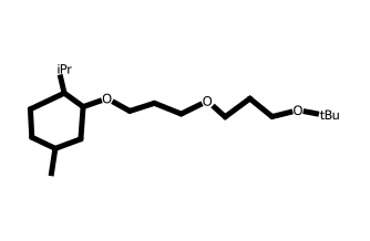 CC1CCC(C(C)C)C(OCCCOCCCOC(C)(C)C)C1